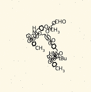 Cc1ccc(S(=O)(=O)N2CCC[C@H]2C(=O)N[C@@H](Cc2ccc(OC(=O)N(C)CCOC=O)cc2)C(=O)OCCN2CCN(C(=O)Oc3ccc(C[C@H](NC(=O)[C@@H]4CCCN4S(=O)(=O)c4ccc(C)cc4)C(=O)OC(C)(C)C)cc3)CC2)cc1